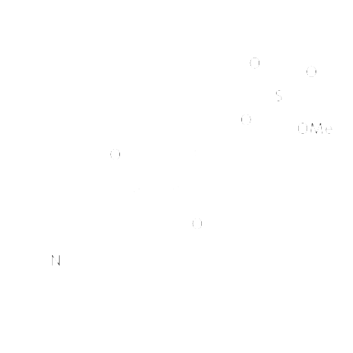 C=C(C)C(=O)C(=O)CC[N+](C)(C)C.COS(=O)(=O)[O-]